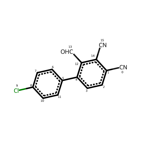 N#Cc1ccc(-c2ccc(Cl)cc2)c(C=O)c1C#N